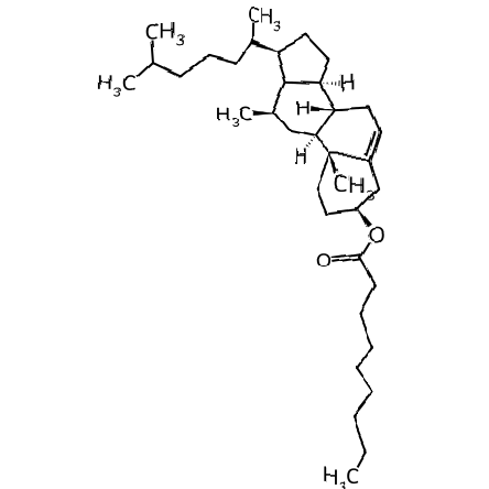 CCCCCCCCC(=O)O[C@H]1CC[C@@]2(C)C(=CC[C@H]3[C@@H]4CC[C@H](C(C)CCCC(C)C)C4[C@H](C)C[C@@H]32)C1